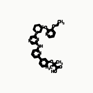 CCOc1cccnc1O[C@@H]1CCCN(c2cncc(Nc3cccc(-c4cccc(OC(C)(C)C(=O)O)c4)n3)n2)C1